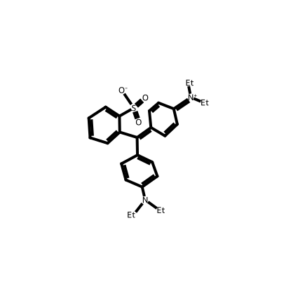 CCN(CC)c1ccc(C(=C2C=CC(=[N+](CC)CC)C=C2)c2ccccc2S(=O)(=O)[O-])cc1